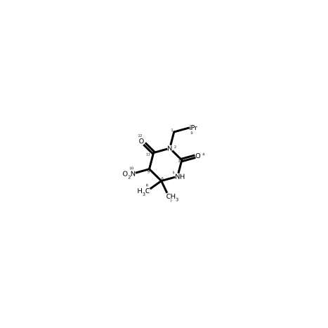 CC(C)CN1C(=O)NC(C)(C)C([N+](=O)[O-])C1=O